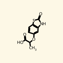 CC(Oc1ccc2sc(=O)[nH]c2c1)C(=O)O